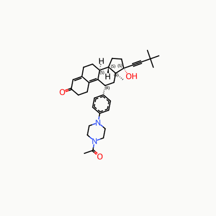 CC(=O)N1CCN(c2ccc([C@H]3C[C@@]4(C)[C@@H](CC[C@@]4(O)C#CC(C)(C)C)[C@@H]4CCC5=CC(=O)CCC5=C43)cc2)CC1